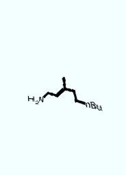 CCCCCCC(C)=CCN